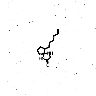 C=CCCCCC1CCCC12NCC(=O)N2